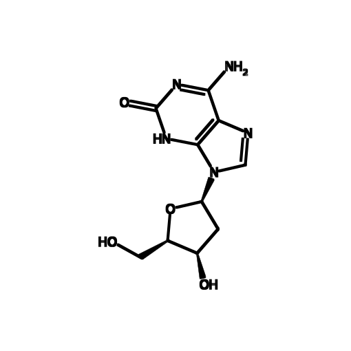 Nc1nc(=O)[nH]c2c1ncn2[C@H]1C[C@@H](O)[C@@H](CO)O1